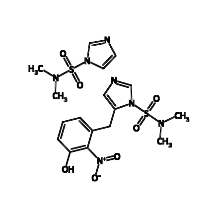 CN(C)S(=O)(=O)n1ccnc1.CN(C)S(=O)(=O)n1cncc1Cc1cccc(O)c1[N+](=O)[O-]